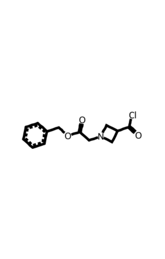 O=C(CN1CC(C(=O)Cl)C1)OCc1ccccc1